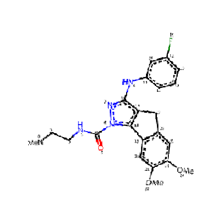 CNCCNC(=O)n1nc(Nc2cccc(F)c2)c2c1-c1cc(OC)c(OC)cc1C2